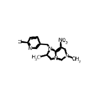 CC1CN2CN(C)CC([N+](=O)[O-])=C2N1Cc1ccc(Cl)nc1